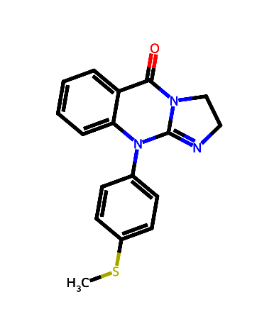 CSc1ccc(N2C3=NCCN3C(=O)c3ccccc32)cc1